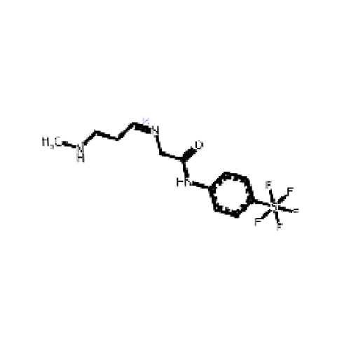 CNCC/C=N\CC(=O)Nc1ccc(S(F)(F)(F)(F)F)cc1